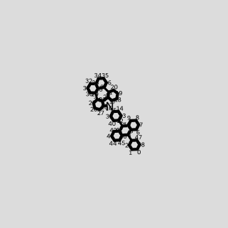 c1ccc(-c2c3ccccc3c(-c3ccc(-n4c5cccc6c5c5c(cccc54)-c4cccc5cccc-6c45)cc3)c3ccccc23)cc1